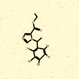 [2H]c1c([2H])c([2H])c(C(C)n2cncc2C(=O)OCC)c([2H])c1[2H]